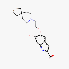 COc1cc2[nH]c(C(=O)O)cc2cc1OCCN1CCC2(CCSC2)CC1